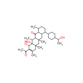 CC(=O)C1=C(C)CC2(C)CC3(C)CC4C(C5CCC(C(C)O)CC5)CCC(C)C4C(=O)C3C(C)C2(O)C1O